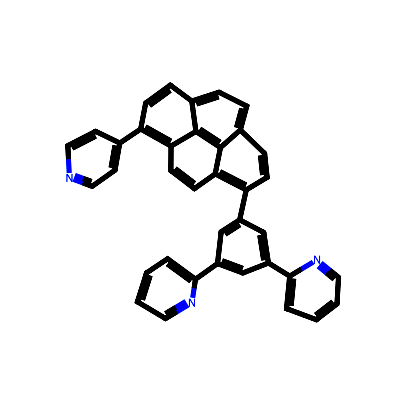 c1ccc(-c2cc(-c3ccccn3)cc(-c3ccc4ccc5ccc(-c6ccncc6)c6ccc3c4c56)c2)nc1